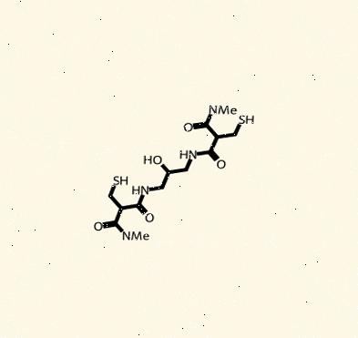 CNC(=O)C(CS)C(=O)NCC(O)CNC(=O)C(CS)C(=O)NC